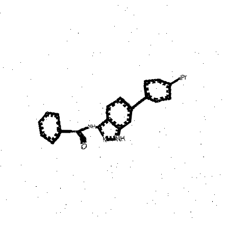 CC(C)c1ccc(-c2ccc3c(NC(=O)c4ccccc4)n[nH]c3c2)cc1